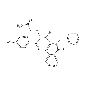 CCC(c1nc2ccccc2c(=O)n1Cc1ccccc1)N(CCN(C)C)C(=O)c1ccc(Cl)cc1